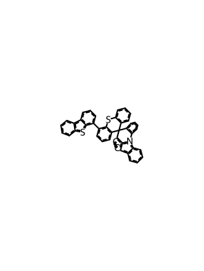 c1ccc2c(c1)Sc1c(-c3cccc4c3sc3ccccc34)cccc1C21c2ccccc2-n2c3ccccc3c3cccc1c32